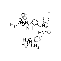 CC(=O)OC(C)=O.C[N+](C)(C)c1ccc(CNC(=O)c2cc3cc(F)ccc3n2Cc2cccc(C(=N)N)c2)cc1